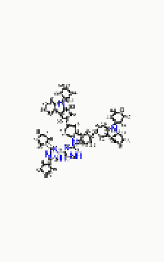 C1=C(C2=NC(c3ccccc3)=NC(c3ccccc3)N2)N=C(n2c3ccc(-c4ccc5c(c4)c4ccccc4n5-c4ccccc4)cc3c3cc(-c4ccc5c(c4)c4ccccc4n5-c4ccccc4)ccc32)CN1